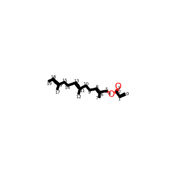 C=CC(=O)OC/C(C)=C/CC/C(C)=C/CC/C(C)=C/C